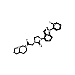 O=C(CN1CCN(c2cccc3c2cnn3-c2ccccc2F)C1=O)N1CCC2CCCN2C1